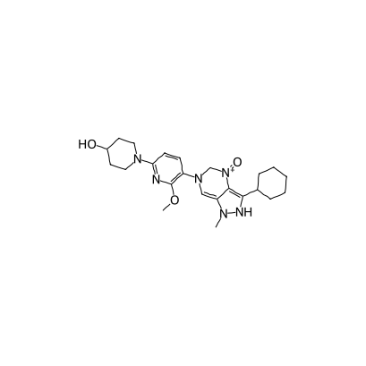 COc1nc(N2CCC(O)CC2)ccc1N1C=C2C(=C(C3CCCCC3)NN2C)[N+](=O)C1